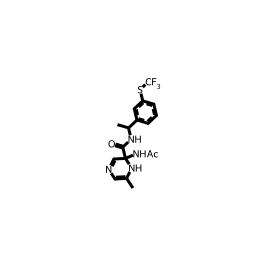 CC(=O)NC1(C(=O)NC(C)c2cccc(SC(F)(F)F)c2)C=NC=C(C)N1